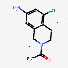 Nc1cc(Cl)c2c(c1)CN(C(=O)C(F)(F)F)CC2